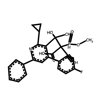 C#CC(C(=O)O)([PH](=O)OC)C(C)(O)c1c(-c2ccc(F)cc2)cc(-c2ccccc2)nc1C1CC1